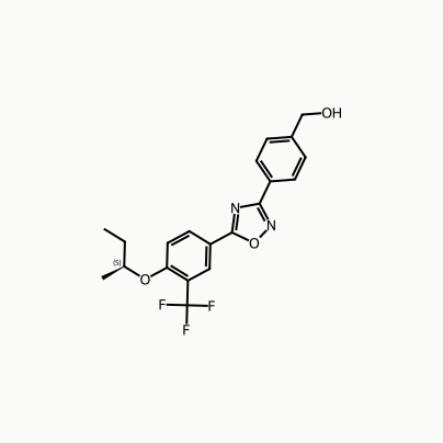 CC[C@H](C)Oc1ccc(-c2nc(-c3ccc(CO)cc3)no2)cc1C(F)(F)F